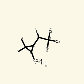 CC1(C)C(C(=O)O)C1C(Br)C(Cl)(Cl)Br.Cl